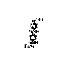 CCCCOc1ccc(NC(=O)C2CCC(NS(=O)(=O)C(C)CC)CC2)cn1